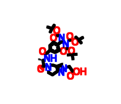 C[C@H](NC(=O)c1ccc(/C(=N\C(=O)OC(C)(C)C)N(C(=O)OC(C)(C)C)C(=O)OC(C)(C)C)cc1)C(=O)N1CCc2nn(CC(=O)O)cc2C1